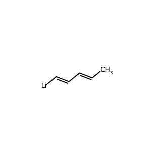 [Li][CH]=CC=CC